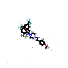 [CH2]C(Cc1cc(C(F)(F)F)cc(C(F)(F)F)c1)(c1ccccc1)N1CCN(CCc2ccc(OC)cc2)CC1